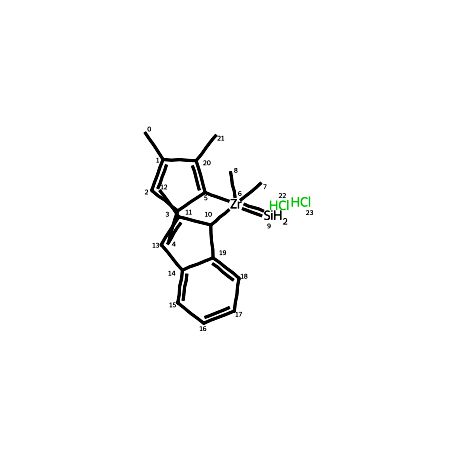 CC1=CC(C)[C]([Zr]([CH3])([CH3])(=[SiH2])[CH]2C(C)=Cc3ccccc32)=C1C.Cl.Cl